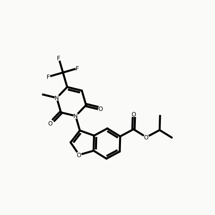 CC(C)OC(=O)c1ccc2occ(-n3c(=O)cc(C(F)(F)F)n(C)c3=O)c2c1